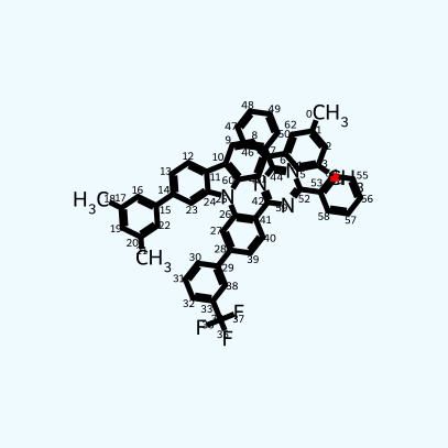 Cc1cc(C)cc(-c2ccc3c4ccc(-c5cc(C)cc(C)c5)cc4n(-c4cc(-c5cccc(C(F)(F)F)c5)ccc4-c4nc(-c5ccccc5)nc(-c5ccccc5)n4)c3c2)c1